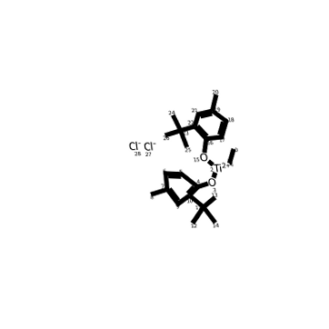 C[CH]=[Ti+2]([O]c1ccc(C)cc1C(C)(C)C)[O]c1ccc(C)cc1C(C)(C)C.[Cl-].[Cl-]